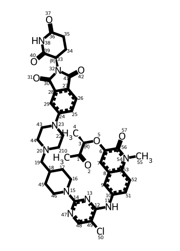 CC(=O)[C@@H](C)Oc1cc2cc(Nc3nc(N4CCC(CN5CCN(c6ccc7c(c6)C(=O)N([C@@H]6CCC(=O)NC6=O)C7=O)CC5)CC4)ncc3Cl)ccc2n(C)c1=O